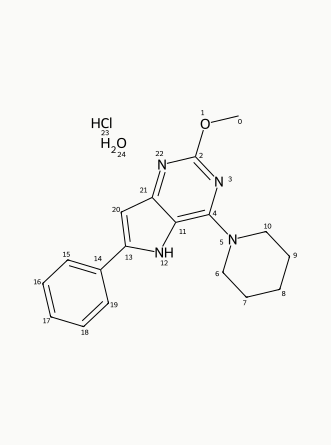 COc1nc(N2CCCCC2)c2[nH]c(-c3ccccc3)cc2n1.Cl.O